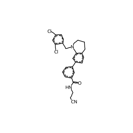 N#CCCNC(=O)c1cccc(-c2ccc3c(c2)N(Cc2ccc(Cl)cc2Cl)CCCC3)c1